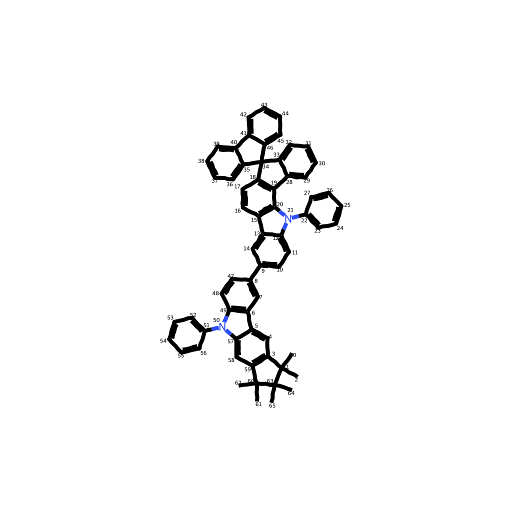 CC1(C)c2cc3c4cc(-c5ccc6c(c5)c5ccc7c(c5n6-c5ccccc5)-c5ccccc5C75c6ccccc6-c6ccccc65)ccc4n(-c4ccccc4)c3cc2C(C)(C)C1(C)C